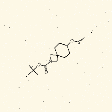 CSOC1CCC2(CC1)CN(C(=O)OC(C)(C)C)C2